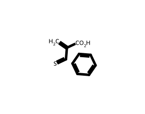 C=C(C=S)C(=O)O.c1ccccc1